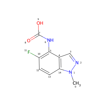 Cn1ncc2c(NC(=O)O)c(F)ccc21